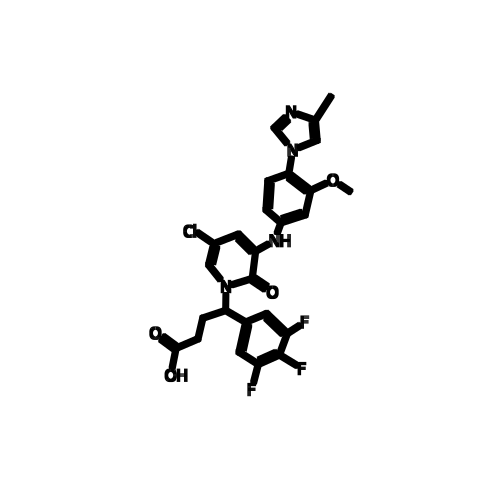 COc1cc(Nc2cc(Cl)cn(C(CCC(=O)O)c3cc(F)c(F)c(F)c3)c2=O)ccc1-n1cnc(C)c1